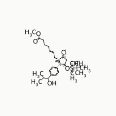 COC(=O)CCCC=CC[C@@H]1[C@@H](c2ccc(C(O)C(C)C)cc2)[C@H](O[Si](C)(C)C(C)(C)C)C[C@H]1Cl